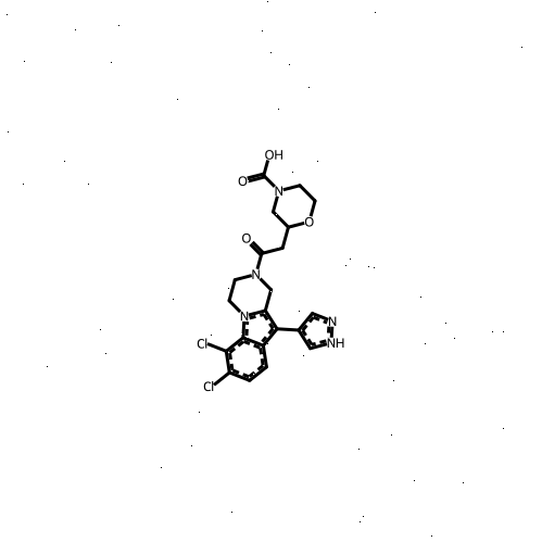 O=C(O)N1CCOC(CC(=O)N2CCn3c(c(-c4cn[nH]c4)c4ccc(Cl)c(Cl)c43)C2)C1